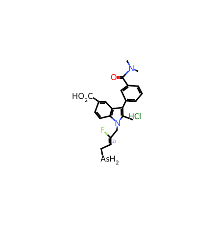 Cc1c(-c2cccc(C(=O)N(C)C)c2)c2cc(C(=O)O)ccc2n1C/C(F)=C/C[AsH2].Cl